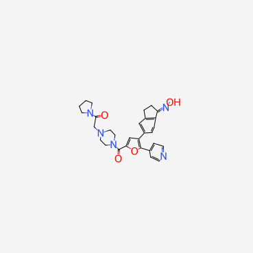 O=C(CN1CCN(C(=O)c2cc(-c3ccc4c(c3)CCC4=NO)c(-c3ccncc3)o2)CC1)N1CCCC1